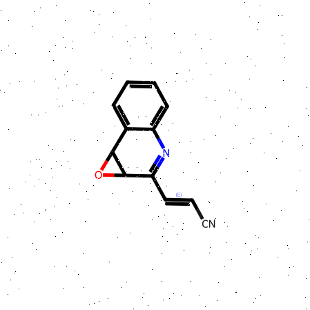 N#C/C=C/C1=Nc2ccccc2C2OC12